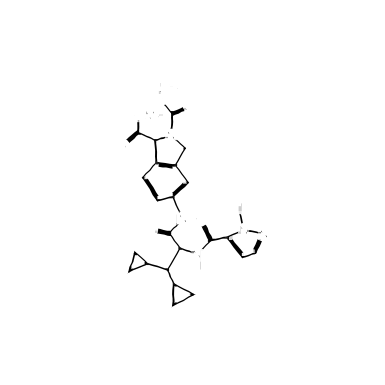 COC(=O)C1c2ccc(NC(=O)C(NC(=O)c3ccnn3C(C)C)C(C3CC3)C3CC3)cc2CN1C(=O)OC(C)(C)C